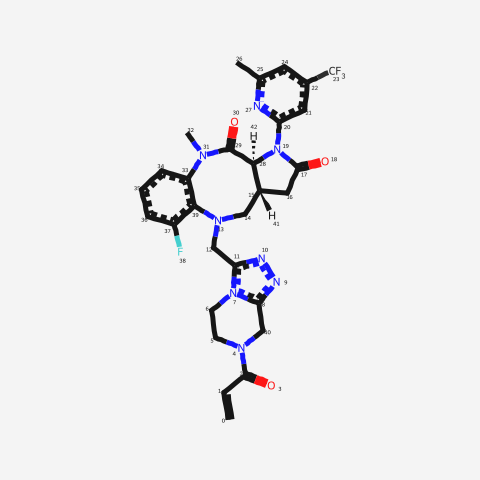 C=CC(=O)N1CCn2c(nnc2CN2C[C@H]3CC(=O)N(c4cc(C(F)(F)F)cc(C)n4)[C@@H]3C(=O)N(C)c3cccc(F)c32)C1